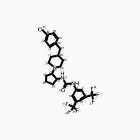 O=C(Nc1cc(C(F)(F)F)cc(C(F)(F)F)c1)NC1CCCC1N1CCC(Cc2ccc(Cl)cc2)CC1